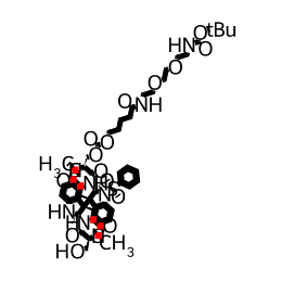 CN1C(=O)[C@@]23C[C@]4([C@]56C[C@@]78SS[C@@](COC(=O)OCCCCC(=O)NCCOCCOCCNC(=O)OC(C)(C)C)(C(=O)N7[C@H]5N(S(=O)(=O)c5ccccc5)c5ccccc56)N(C)C8=O)c5ccccc5N[C@@H]4N2C(=O)[C@]1(CO)SS3